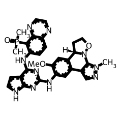 COc1cc2c(cc1Nc1nc(Nc3ccc4nccnc4c3P(C)(C)=O)c3cc[nH]c3n1)-c1cnn(C)c1N1OCC[C@@H]21